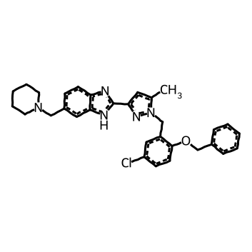 Cc1cc(-c2nc3ccc(CN4CCCCC4)cc3[nH]2)nn1Cc1cc(Cl)ccc1OCc1ccccc1